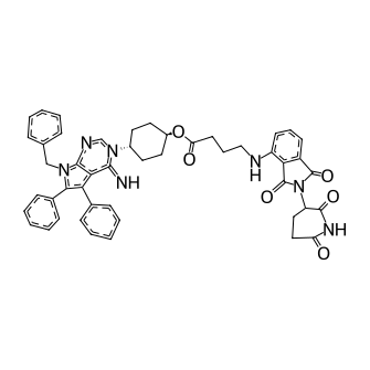 N=c1c2c(-c3ccccc3)c(-c3ccccc3)n(Cc3ccccc3)c2ncn1[C@H]1CC[C@H](OC(=O)CCCNc2cccc3c2C(=O)N(C2CCC(=O)NC2=O)C3=O)CC1